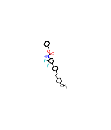 CC1CCC(CCc2ccc(-c3ccc(NC(=O)OCc4ccccc4)c(F)c3F)cc2)CC1